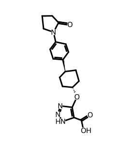 O=C(O)c1[nH]nnc1O[C@H]1CC[C@H](c2ccc(N3CCCC3=O)cc2)CC1